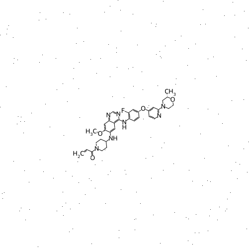 C=CC(=O)N1CCC(Nc2cc3c(Nc4ccc(Oc5ccnc(N6CCO[C@@H](C)C6)c5)cc4F)ncnc3cc2OC)CC1